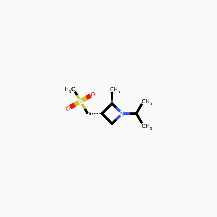 CC(C)N1C[C@H](CS(C)(=O)=O)[C@H]1C